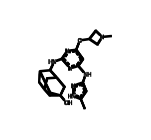 Cc1cc(Nc2cc(OC3CN(C)C3)nc(NC3C4CC5CC3CC(O)(C5)C4)n2)n[nH]1